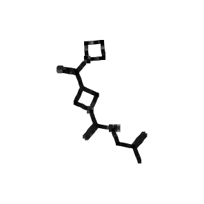 C=C(C)CNC(=C)N1CC(C(=O)N2CCC2)C1